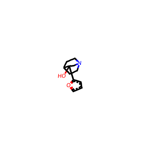 OC1(c2ccco2)CN2CCC1CC2